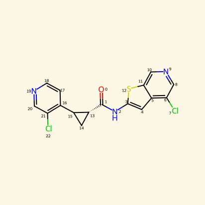 O=C(Nc1cc2c(Cl)cncc2s1)[C@@H]1CC1c1ccncc1Cl